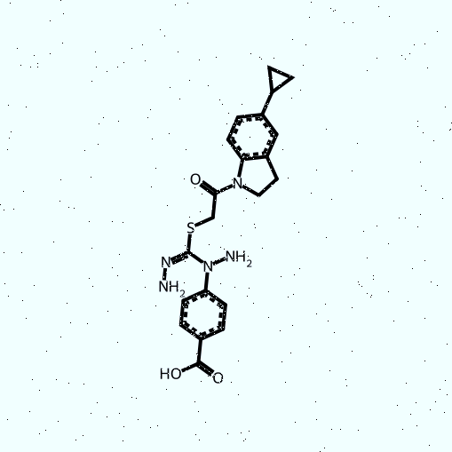 N/N=C(/SCC(=O)N1CCc2cc(C3CC3)ccc21)N(N)c1ccc(C(=O)O)cc1